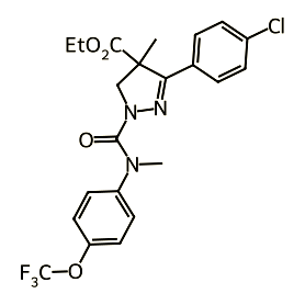 CCOC(=O)C1(C)CN(C(=O)N(C)c2ccc(OC(F)(F)F)cc2)N=C1c1ccc(Cl)cc1